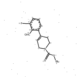 CC(C)(C)OC(=O)N1CC=C(c2cccc(F)c2C=O)CC1